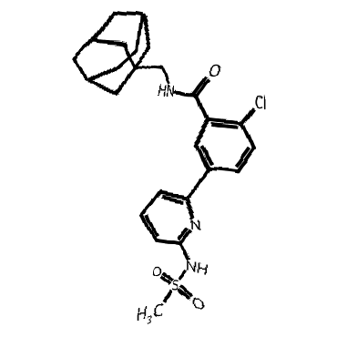 CS(=O)(=O)Nc1cccc(-c2ccc(Cl)c(C(=O)NCC34CC5CC(CC(C5)C3)C4)c2)n1